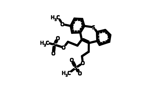 COc1ccc2c(c1)C(CCOS(C)(=O)=O)=C(CCOS(C)(=O)=O)c1ccccc1S2